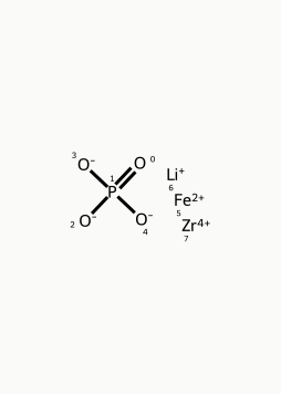 O=P([O-])([O-])[O-].[Fe+2].[Li+].[Zr+4]